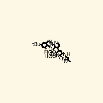 Cc1cc(Nc2cc(-c3ccnc(-n4ncc5cc(C(C)(C)C)cc(F)c5c4=O)c3COP(=O)(O)O)cn(C)c2=O)no1